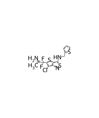 C[C@H](N)C(F)(F)c1sc2c(NCc3cccs3)snc2c1Cl